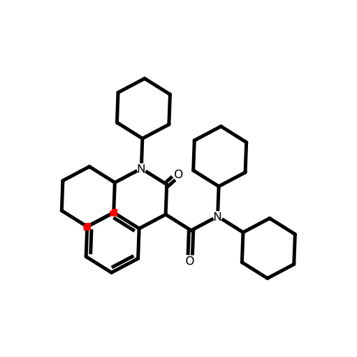 O=C(C(C(=O)N(C1CCCCC1)C1CCCCC1)c1ccccc1)N(C1CCCCC1)C1CCCCC1